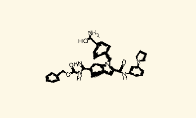 N=C(NC(=O)OCc1ccccc1)c1ccc2cc(C(=O)Nc3cccc(N4CCCC4)c3)n(Cc3ccc(C(N)O)cc3)c2c1